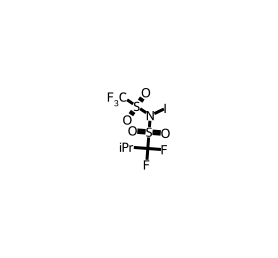 CC(C)C(F)(F)S(=O)(=O)N(I)S(=O)(=O)C(F)(F)F